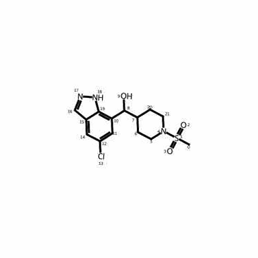 CS(=O)(=O)N1CCC(C(O)c2cc(Cl)cc3cn[nH]c23)CC1